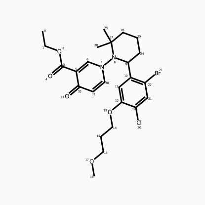 CCOC(=O)c1cn(N2C(c3cc(OCCCOC)c(Cl)cc3Br)CCCC2(C)C)ccc1=O